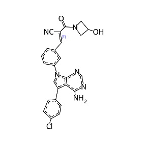 N#C/C(=C\c1cccc(-n2cc(-c3ccc(Cl)cc3)c3c(N)ncnc32)c1)C(=O)N1CC(O)C1